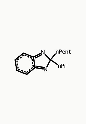 CCCCCC1(CCC)N=c2ccccc2=N1